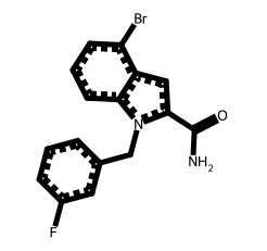 NC(=O)c1cc2c(Br)cccc2n1Cc1cccc(F)c1